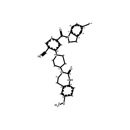 C#Cc1cnc(C(=O)N2CCc3cc(F)ccc32)cc1N1CCC(N2CCc3cc(OC)ccc3NC2=O)CC1